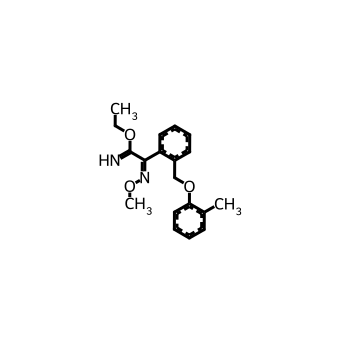 CCOC(=N)C(=NOC)c1ccccc1COc1ccccc1C